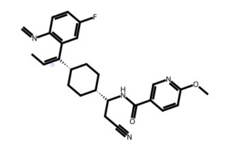 C=Nc1ccc(F)cc1/C(=C\C)[C@H]1CC[C@@H](C(CC#N)NC(=O)c2ccc(OC)nc2)CC1